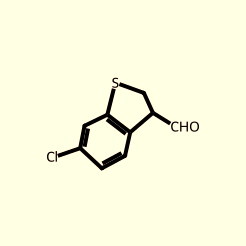 O=CC1CSc2cc(Cl)ccc21